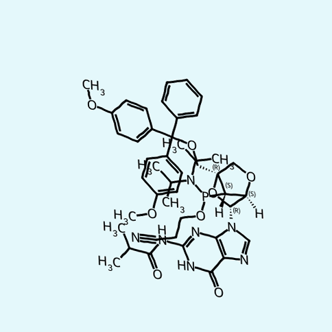 COc1ccc(C(OC[C@@]23CO[C@@H]([C@H](n4cnc5c(=O)[nH]c(NC(=O)C(C)C)nc54)O2)[C@@H]3P(OCCC#N)N(C(C)C)C(C)C)(c2ccccc2)c2ccc(OC)cc2)cc1